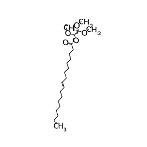 CCCCCCCCC=CCCCCCCCC(=O)OC(OC)C(OC)OC